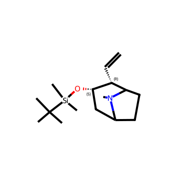 C=C[C@@H]1C2CCC(C[C@@H]1O[Si](C)(C)C(C)(C)C)N2C